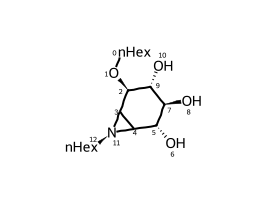 CCCCCCO[C@@H]1C2C([C@@H](O)[C@H](O)[C@H]1O)[N@@]2CCCCCC